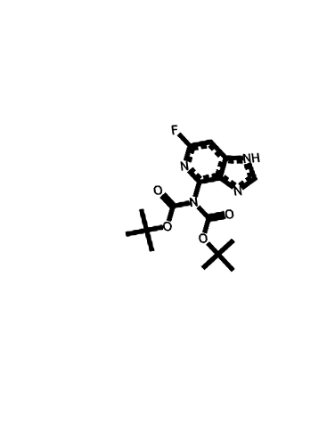 CC(C)(C)OC(=O)N(C(=O)OC(C)(C)C)c1nc(F)cc2[nH]cnc12